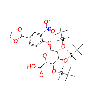 CC(C)(C)[Si](C)(C)O[C@H]1[C@@H](O[Si](C)(C)C(C)(C)C)[C@@H](C(=O)O)O[C@@H](Oc2ccc(C3OCCO3)cc2[N+](=O)[O-])[C@@H]1O[Si](C)(C)C(C)(C)C